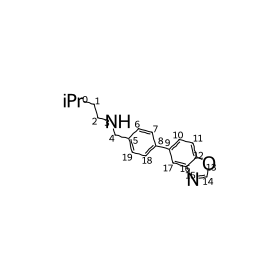 CC(C)CCNCc1ccc(-c2ccc3ocnc3c2)cc1